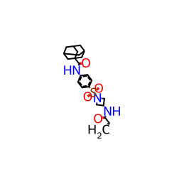 C=CC(=O)NC1CN(S(=O)(=O)c2ccc(NC(=O)C34CC5CC(CC(C5)C3)C4)cc2)C1